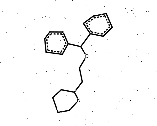 c1ccc(C(OCCC2CCCC[N]2)c2ccccc2)cc1